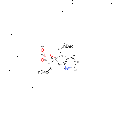 CCCCCCCCCCCCC(CCCCCCCCCCCC)(Cc1ccccn1)OB(O)O